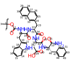 CC(C)(C)OC(=O)N[C@H](Cc1c[nH]c2ccccc12)C(=O)N[C@@H](Cc1ccc2ccccc2c1)C(=O)N[C@@H](CC(=O)O)C(=O)N[C@@H](Cc1ccccc1)C(N)=O